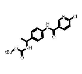 CC(NC(=O)OC(C)(C)C)c1ccc(NC(=O)c2ccc(Cl)nc2)cc1